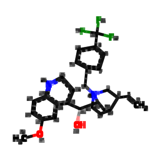 C=CC1C[N+]2(Cc3ccc(C(F)(F)F)cc3)CCC1CC2[C@H](O)c1ccnc2ccc(OC)cc12